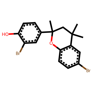 CC1(C)CC(C)(c2ccc(O)c(Br)c2)Oc2ccc(Br)cc21